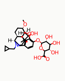 CO[C@@]12CC[C@@]3(C[C@@H]1[C@](C)(O)C(C)(C)C)[C@H]1Cc4ccc(O[C@@H]5OC(C(=O)O)[C@@H](O)C(O)[C@H]5O)c5c4[C@@]3(CCN1CC1CC1)[C@H]2O5